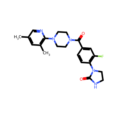 Cc1cnc(N2CCN(C(=O)c3ccc(N4CCNC4=O)c(F)c3)CC2)c(C)c1